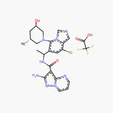 CC(NC(=O)c1c(N)nn2cccnc12)c1cc(Cl)c2cncn2c1N1C[C@H](O)C[C@@H](C#N)C1.O=C(O)C(F)(F)F